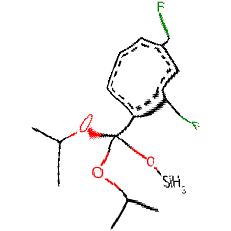 CC(C)OC(O[SiH3])(OC(C)C)c1ccc(F)cc1F